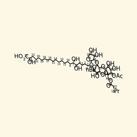 CCCC[C@H](CCC[C@H](O)[C@@H](O)CCCCCCCCCCCCCC[C@@H](O)C(=O)O)O[C@H]1OC[C@H](O)[C@@H](O)[C@@H]1O[C@H]1OC[C@H](O)[C@@H](O)[C@@H]1O[C@H]1O[C@@H](COC(=O)CC(C)C)[C@H](OC(C)=O)[C@@H](O)[C@@H]1O